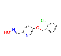 ON=Cc1ccc(OCc2ccccc2Cl)cn1